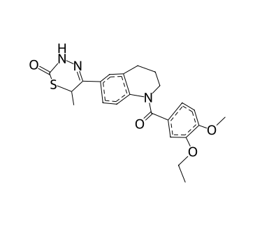 CCOc1cc(C(=O)N2CCCc3cc(C4=NNC(=O)SC4C)ccc32)ccc1OC